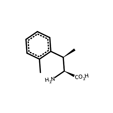 Cc1ccccc1[C@@H](C)[C@H](N)C(=O)O